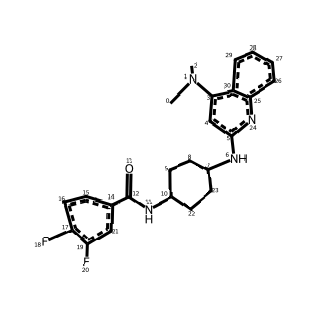 CN(C)c1cc(NC2CCC(NC(=O)c3ccc(F)c(F)c3)CC2)nc2ccccc12